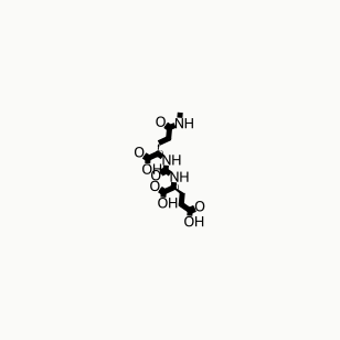 CNC(=O)CC[C@H](NC(=O)N[C@@H](CCC(=O)O)C(=O)O)C(=O)O